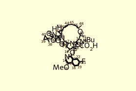 CCC(C)N(C(=O)O)[C@@H]1C(=O)N2[C@@H](C[C@@](C)(Oc3ncc(OC)c4ccc(F)cc34)C2(F)F)C(=O)N[C@]2(C(=O)NS(=O)(=O)C3(C)CC3)C[C@H]2/C=C\CC[C@@H](C)O[C@H]1C